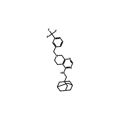 FC(F)(F)c1cccc(CN2CCc3c(ncnc3NCC34CC5CC(CC(C5)C3)C4)C2)c1